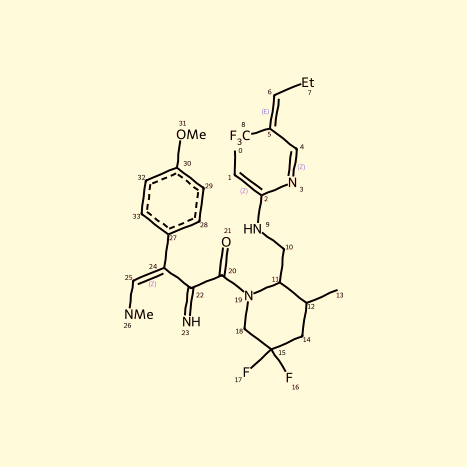 C\C=C(/N=C\C(=C/CC)C(F)(F)F)NCC1C(C)CC(F)(F)CN1C(=O)C(=N)/C(=C\NC)c1ccc(OC)cc1